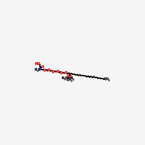 CCCCCCCCCCCCCCCCCCCCCCCCCC(CCOCCOCCOCCOCCOCCOCCN(C)C(=O)CCO)C(=O)OC(C)(C)C